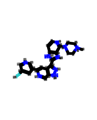 CN1CCN(c2nccc3[nH]c(-c4n[nH]c5cnc(-c6cncc(F)c6)cc45)nc23)CC1